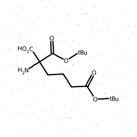 CC(C)(C)OC(=O)CCCC(N)(C(=O)O)C(=O)OC(C)(C)C